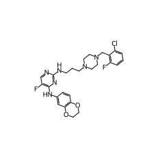 Fc1cnc(NCCCN2CCN(Cc3c(F)cccc3Cl)CC2)nc1Nc1ccc2c(c1)OCCO2